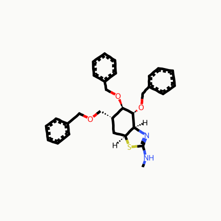 CNC1=N[C@@H]2[C@@H](OCc3ccccc3)[C@H](OCc3ccccc3)[C@@H](COCc3ccccc3)C[C@@H]2S1